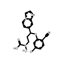 CN(CCC(Oc1cc(Cl)ccc1C#N)c1ccn2ccnc2c1)C(=O)O